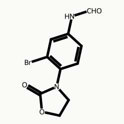 O=CNc1ccc(N2CCOC2=O)c(Br)c1